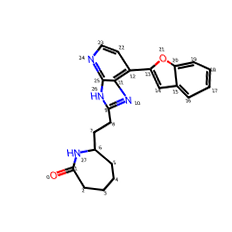 O=C1CCCCC(CCc2nc3c(-c4cc5ccccc5o4)ccnc3[nH]2)N1